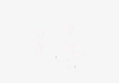 C=C(C)C(=O)OCC1CO1.O=C1OC(=O)C2=C1CC2